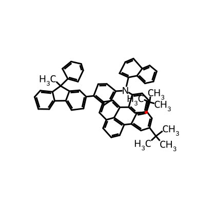 CC(C)(C)c1cc(-c2cccc3cccc(-c4ccccc4N(c4ccc(-c5ccc6c(c5)C(C)(c5ccccc5)c5ccccc5-6)cc4)c4cccc5ccccc45)c23)cc(C(C)(C)C)c1